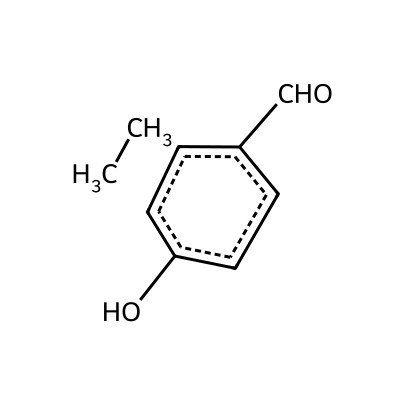 CC.O=Cc1ccc(O)cc1